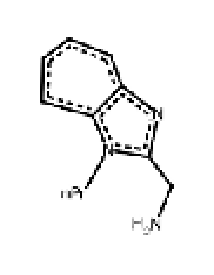 CCCn1c(CN)nc2ccccc21